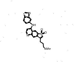 CNCCCC1=CS(=O)(=O)c2cc3c(Nc4ccc5scnc5c4)ccnc3cc21